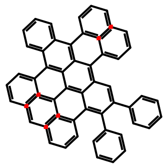 c1ccc(-c2cc3c(-c4ccccc4)c4c(-c5ccccc5)c5ccccc5c(-c5ccccc5)c4c(-c4ccccc4)c3c(-c3ccccc3)c2-c2ccccc2)cc1